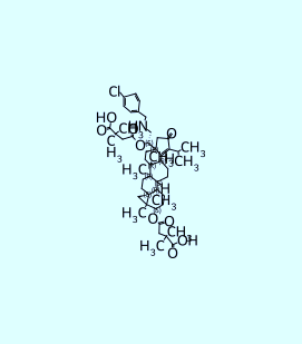 CC(C)C1=C2[C@H]3CC[C@@H]4[C@@]5(C)CC[C@H](OC(=O)CC(C)(C)C(=O)O)C6(C)C[C@]65CC[C@@]4(C)[C@]3(C)CC[C@@]2([C@@H](CNCc2ccc(Cl)cc2)OC(=O)CC(C)(C)C(=O)O)CC1=O